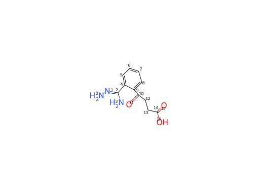 N/N=C(\N)c1ccccc1C(=O)CCC(=O)O